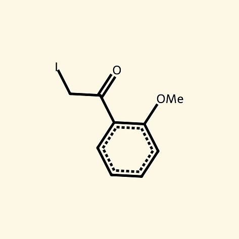 COc1ccccc1C(=O)CI